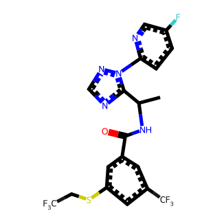 CC(NC(=O)c1cc(SCC(F)(F)F)cc(C(F)(F)F)c1)c1ncnn1-c1ccc(F)cn1